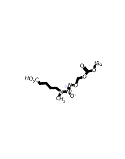 CN(CCCCC(=O)O)/[N+]([O-])=N/OCOC(=O)OC(C)(C)C